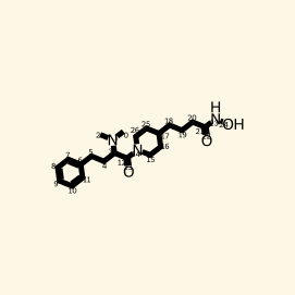 CN(C)C(CCc1ccccc1)C(=O)N1CCC(CCCC(=O)NO)CC1